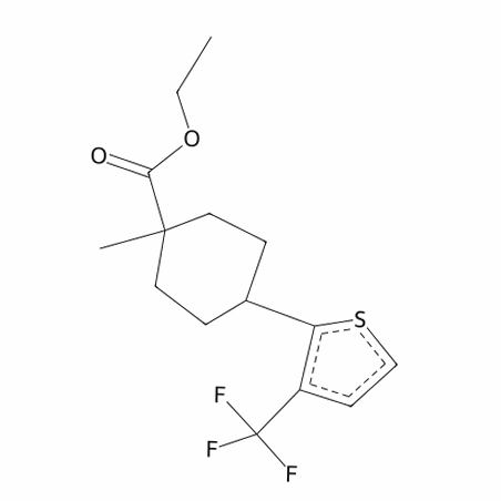 CCOC(=O)C1(C)CCC(c2sccc2C(F)(F)F)CC1